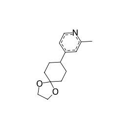 Cc1cc(C2CCC3(CC2)OCCO3)ccn1